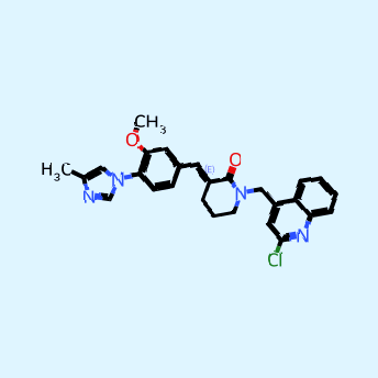 COc1cc(/C=C2\CCCN(Cc3cc(Cl)nc4ccccc34)C2=O)ccc1-n1cnc(C)c1